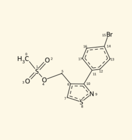 CS(=O)(=O)OCc1csnc1-c1ccc(Br)cc1